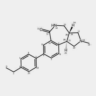 CCc1ccc(-c2ccc3c(c2)C(=O)NC[C@@H]2CN(C)C[C@@H]32)cc1